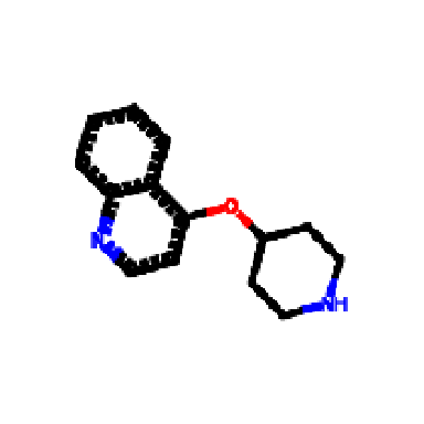 c1ccc2c(OC3CCNCC3)ccnc2c1